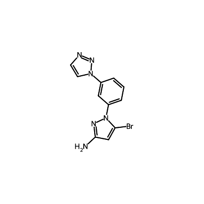 Nc1cc(Br)n(-c2cccc(-n3ccnn3)c2)n1